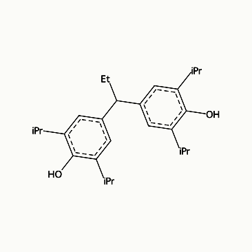 CCC(c1cc(C(C)C)c(O)c(C(C)C)c1)c1cc(C(C)C)c(O)c(C(C)C)c1